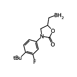 BCC1CN(c2ccc(C(C)(C)C)c(F)c2)C(=O)O1